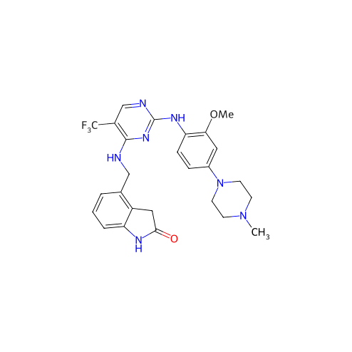 COc1cc(N2CCN(C)CC2)ccc1Nc1ncc(C(F)(F)F)c(NCc2cccc3c2CC(=O)N3)n1